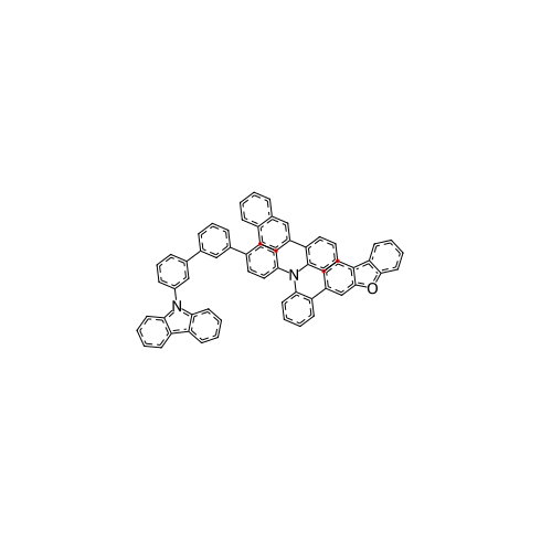 c1cc(-c2ccc(N(c3ccccc3-c3ccc4ccccc4c3)c3ccccc3-c3ccc4c(c3)oc3ccccc34)cc2)cc(-c2cccc(-n3c4ccccc4c4ccccc43)c2)c1